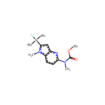 CN(C(=O)OC(C)(C)C)c1ccc2c(cc([Si](F)(C(C)(C)C)C(C)(C)C)n2C)n1